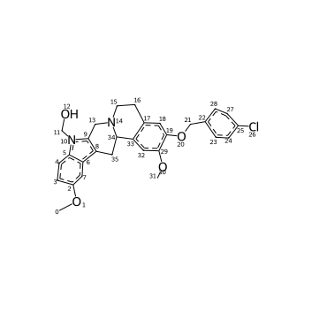 COc1ccc2c(c1)c1c(n2CO)CN2CCc3cc(OCc4ccc(Cl)cc4)c(OC)cc3C2C1